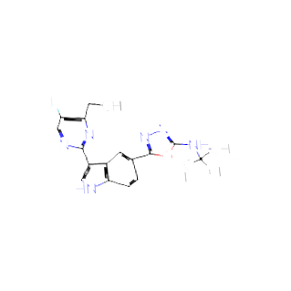 CCc1nc(-c2c[nH]c3ccc(-c4nnc(NC(C)(C)C)o4)cc23)ncc1F